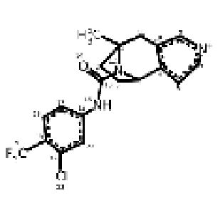 CC12CCC(c3ccncc3C1)N2C(=O)Nc1ccc(C(F)(F)F)c(Cl)c1